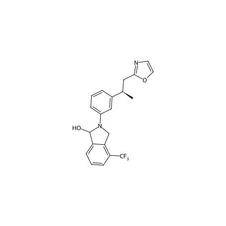 C[C@H](Cc1ncco1)c1cccc(N2Cc3c(cccc3C(F)(F)F)C2O)c1